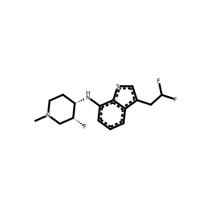 CN1CC[C@H](Nc2cccc3c(CC(F)F)csc23)[C@H](F)C1